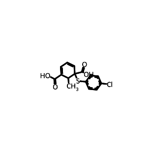 CC1C(C(=O)O)=CC=CC1(Sc1ccc(Cl)cc1)C(=O)O